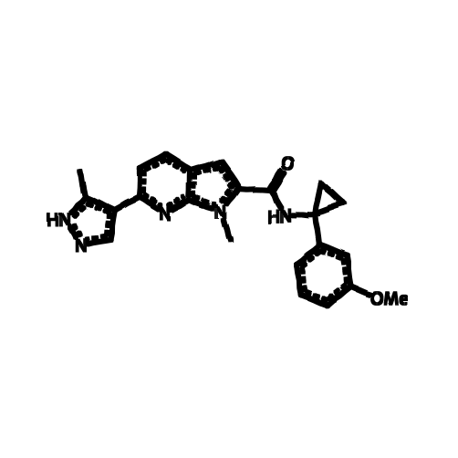 COc1cccc(C2(NC(=O)c3cc4ccc(-c5cn[nH]c5C)nc4n3C)CC2)c1